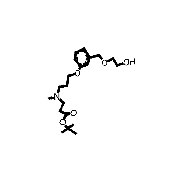 CN(CCCOc1cccc(COCCO)c1)CCC(=O)OC(C)(C)C